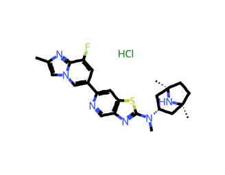 Cc1cn2cc(-c3cc4sc(N(C)[C@H]5C[C@]6(C)CC[C@](C)(C5)N6)nc4cn3)cc(F)c2n1.Cl